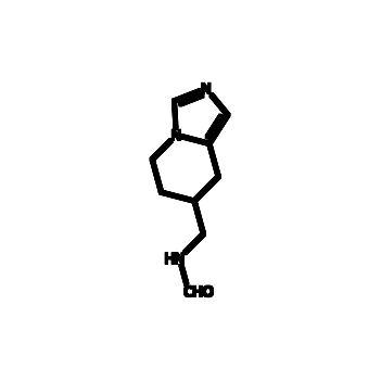 O=CNCC1CCn2cncc2C1